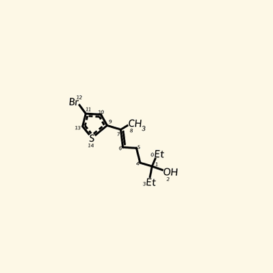 CCC(O)(CC)CC/C=C(\C)c1cc(Br)cs1